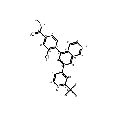 COC(=O)c1ccc(-c2cc(-c3ccnc(C(C)(C)C)c3)cc3cnccc23)c(Cl)c1